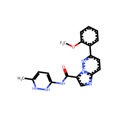 CC1=CC=C(NC(=O)c2cnc3ccc(-c4ccccc4OC(F)(F)F)nn23)NN1